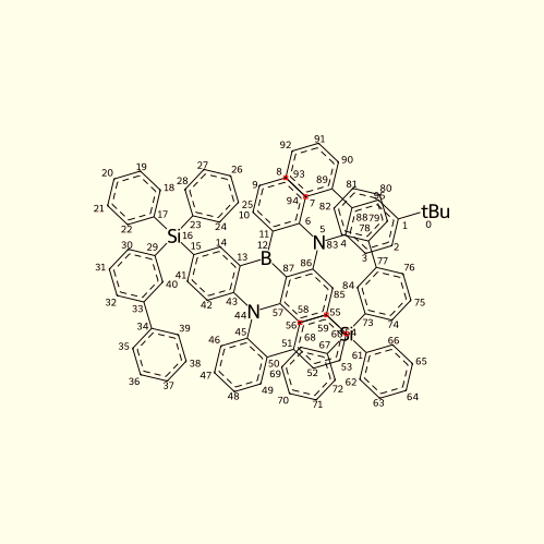 CC(C)(C)c1ccc(N2c3ccccc3B3c4cc([Si](c5ccccc5)(c5ccccc5)c5cccc(-c6ccccc6)c5)ccc4N(c4ccccc4-c4ccccc4)c4cc([Si](c5ccccc5)(c5ccccc5)c5cccc(-c6ccccc6)c5)cc2c43)c(-c2ccccc2)c1